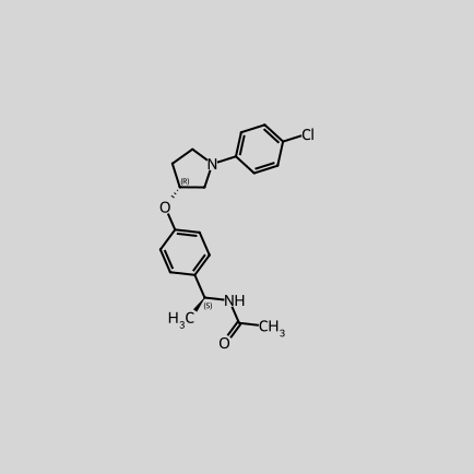 CC(=O)N[C@@H](C)c1ccc(O[C@@H]2CCN(c3ccc(Cl)cc3)C2)cc1